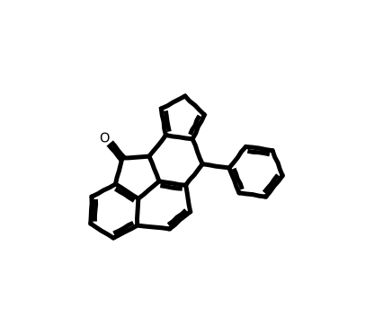 O=C1c2cccc3ccc4c(c23)C1C1=CCC=C1C4c1ccccc1